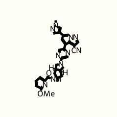 COc1cccc(C(=O)NC2(C)C[C@H]3CN(c4cnc(-c5cc(-c6cnn(C)c6)cn6ncc(C#N)c56)cn4)C[C@H]3C2)n1